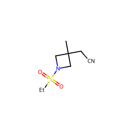 CCS(=O)(=O)N1CC(C)(CC#N)C1